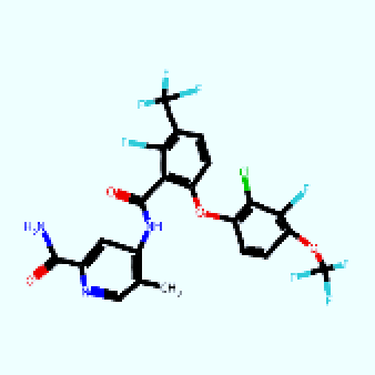 Cc1cnc(C(N)=O)cc1NC(=O)c1c(Oc2ccc(OC(F)(F)F)c(F)c2Cl)ccc(C(F)(F)F)c1F